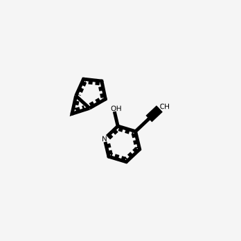 C#Cc1cccnc1O.c1cc2cc-2c1